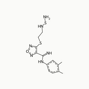 Cc1ccc(NC(=N)c2nonc2SCCNSN)cc1C